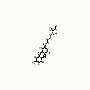 C=CC(=O)NCCCCOc1ccc2nc3ccc(=O)cc-3oc2c1